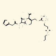 CCCNS(=O)(=O)CCn1nnnc1SCC1=C(C(=O)O)N2C(=O)C(NC(=O)Cc3cccs3)[C@H]2SC1